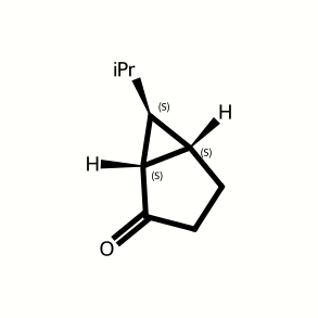 CC(C)[C@H]1[C@@H]2CCC(=O)[C@@H]21